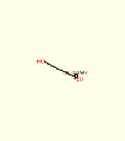 COc1cc(O)c(C)c(CCCCCCCCCCCCCCCCCCCCO)c1OC